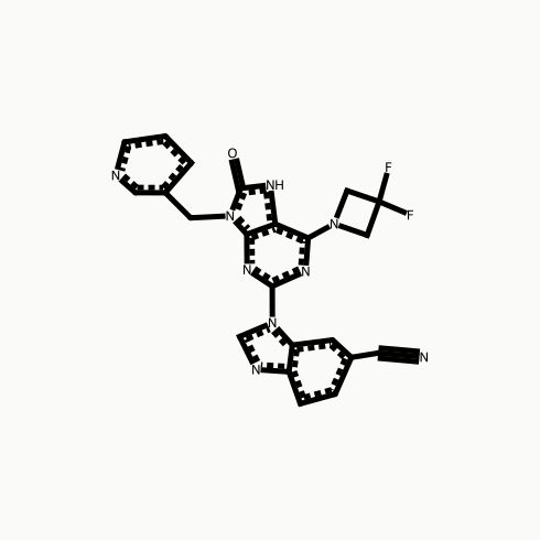 N#Cc1ccc2ncn(-c3nc(N4CC(F)(F)C4)c4[nH]c(=O)n(Cc5cccnc5)c4n3)c2c1